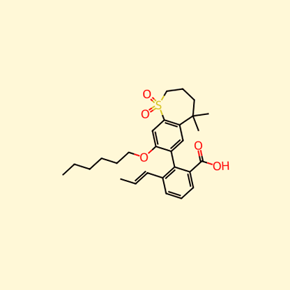 CC=Cc1cccc(C(=O)O)c1-c1cc2c(cc1OCCCCCC)S(=O)(=O)CCCC2(C)C